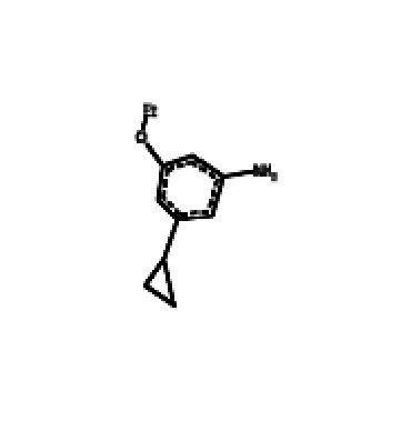 CCOc1cc(N)cc(C2CC2)c1